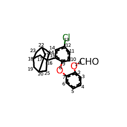 O=COc1ccccc1Oc1ccc(Cl)cc1C12CC3CC(CC(C3)C1)C2